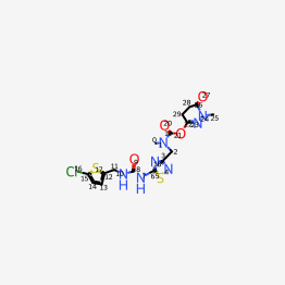 CN(Cc1nsc(NC(=O)NCc2ccc(Cl)s2)n1)C(=O)OC1=NN(C)C(=O)CC1